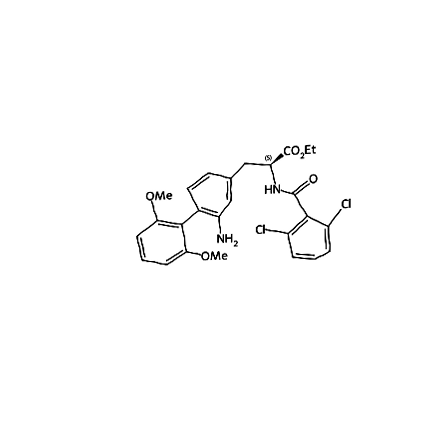 CCOC(=O)[C@H](Cc1ccc(-c2c(OC)cccc2OC)c(N)c1)NC(=O)c1c(Cl)cccc1Cl